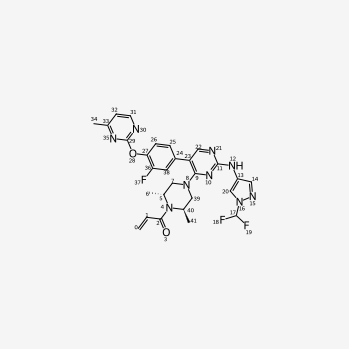 C=CC(=O)N1[C@H](C)CN(c2nc(Nc3cnn(C(F)F)c3)ncc2-c2ccc(Oc3nccc(C)n3)c(F)c2)C[C@H]1C